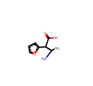 CC(N)C(C(=O)O)c1ccco1